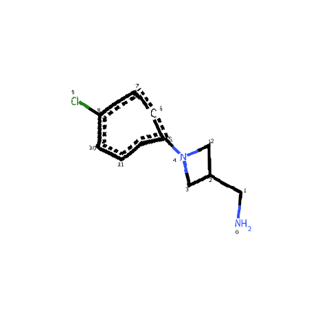 NCC1CN(c2ccc(Cl)cc2)C1